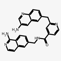 Nc1cnc2ccc(Cc3cc(C(=O)NCc4ccc5c(N)nccc5c4)ccn3)cc2c1